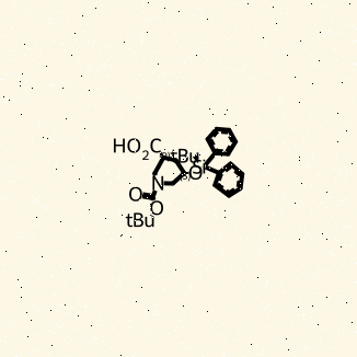 CC(C)(C)OC(=O)N1C[C@@H](O[Si](c2ccccc2)(c2ccccc2)C(C)(C)C)C[C@@H](C(=O)O)C1